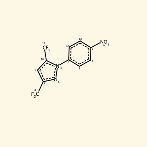 O=[N+]([O-])c1ccc(-n2nc(C(F)(F)F)cc2C(F)(F)F)cc1